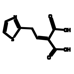 O=C(O)C(=CCc1nccs1)C(=O)O